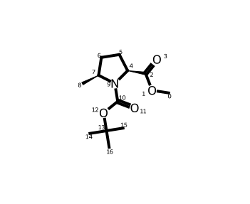 COC(=O)[C@@H]1CC[C@H](C)N1C(=O)OC(C)(C)C